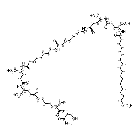 NC(=O)[C@H](CO)NC(=O)[C@H](CCCCNC(=O)CC[C@H](NC(=O)CC[C@H](NC(=O)COCCOCCNC(=O)COCCOCCNC(=O)CC[C@H](NC(=O)CC[C@H](NC(=O)CCCCCCCCCCCCCCCCC(=O)O)C(=O)O)C(=O)O)C(=O)O)C(=O)O)NI